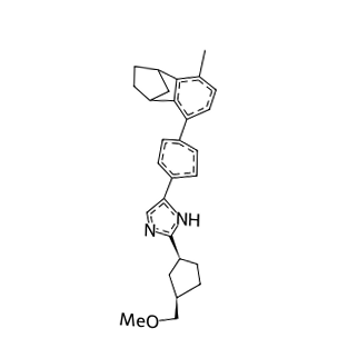 COC[C@@H]1CC[C@H](c2ncc(-c3ccc(-c4ccc(C)c5c4C4CCC5C4)cc3)[nH]2)C1